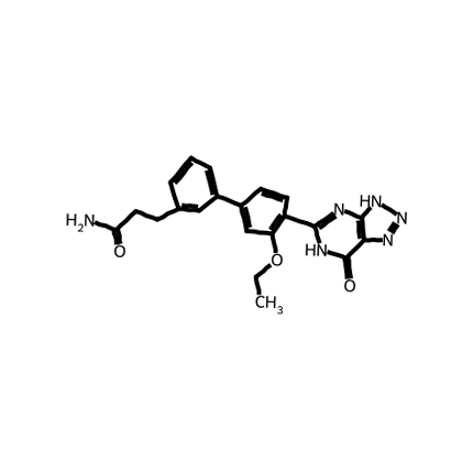 CCOc1cc(-c2cccc(CCC(N)=O)c2)ccc1-c1nc2[nH]nnc2c(=O)[nH]1